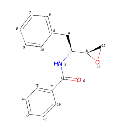 O=C(N[C@@H](Cc1ccccc1)[C@H]1CO1)c1ccccc1